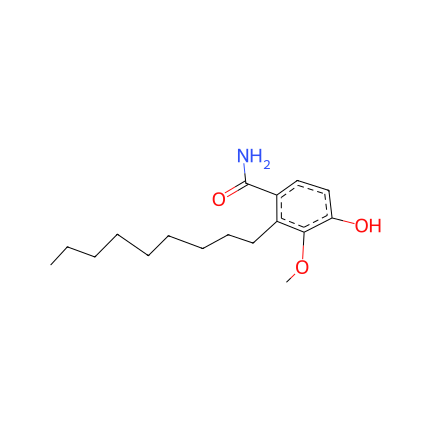 CCCCCCCCCc1c(C(N)=O)ccc(O)c1OC